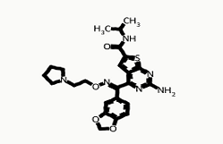 CC(C)NC(=O)c1cc2c(C(=NOCCN3CCCC3)c3ccc4c(c3)OCO4)nc(N)nc2s1